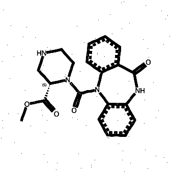 COC(=O)[C@@H]1CNCCN1C(=O)N1c2ccccc2NC(=O)c2ccccc21